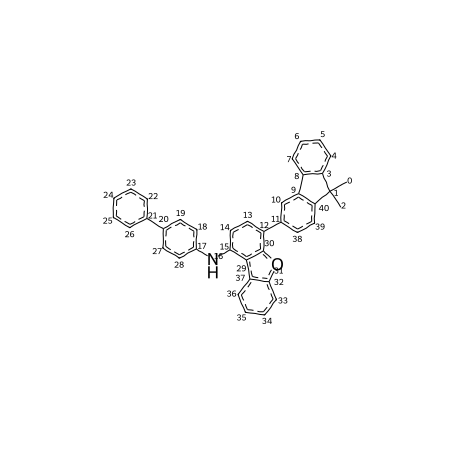 CC1(C)c2ccccc2-c2cc(-c3ccc(Nc4ccc(-c5ccccc5)cc4)c4c3oc3ccccc34)ccc21